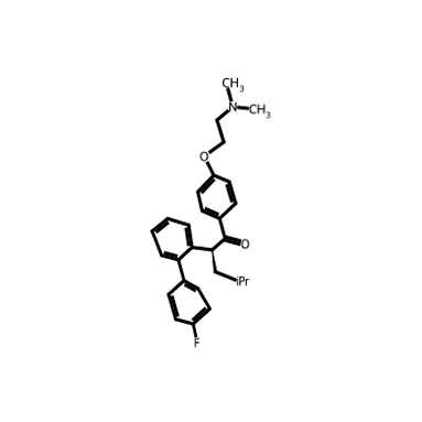 CC(C)C[C@H](C(=O)c1ccc(OCCN(C)C)cc1)c1ccccc1-c1ccc(F)cc1